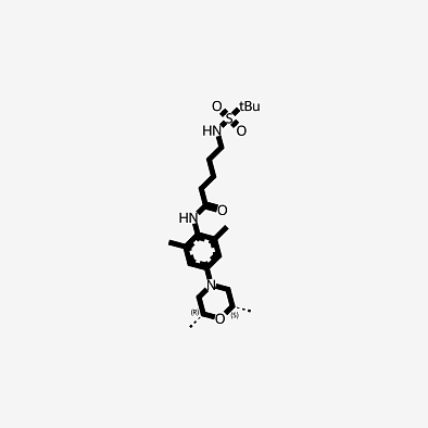 Cc1cc(N2C[C@@H](C)O[C@@H](C)C2)cc(C)c1NC(=O)CCCCNS(=O)(=O)C(C)(C)C